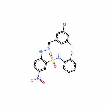 O=[N+]([O-])c1ccc(N/N=C/c2cc(Cl)cc(Cl)c2)c(S(=O)(=O)Nc2ccccc2Cl)c1